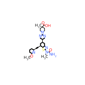 CCN(C(N)=O)c1nc2cc(-c3cnc(N4CCC(C)(C(=O)O)CC4)nc3)cc(C#Cc3cccc(OC)n3)c2s1